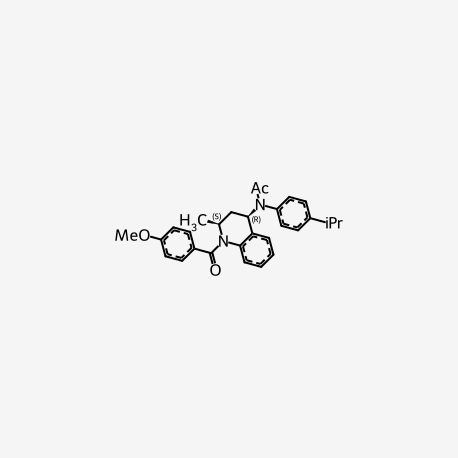 COc1ccc(C(=O)N2c3ccccc3[C@H](N(C(C)=O)c3ccc(C(C)C)cc3)C[C@@H]2C)cc1